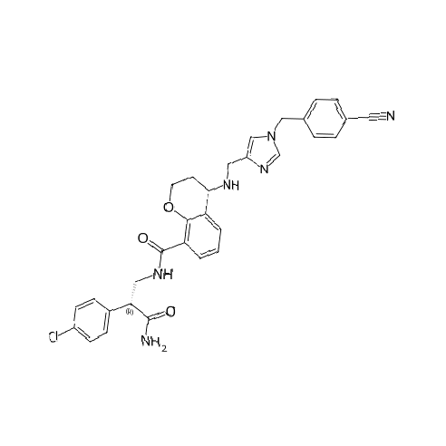 N#Cc1ccc(Cn2cnc(CNC3CCOc4c(C(=O)NC[C@H](C(N)=O)c5ccc(Cl)cc5)cccc43)c2)cc1